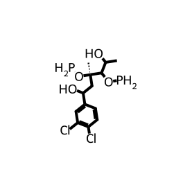 CC(O)C(OP)[C@@](C)(CC(O)c1ccc(Cl)c(Cl)c1)OP